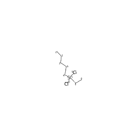 CCCCC[Si](Cl)(Cl)CC